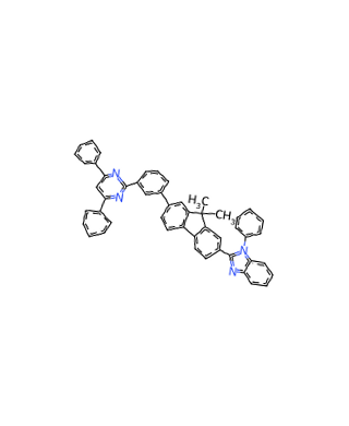 CC1(C)c2cc(-c3cccc(-c4nc(-c5ccccc5)cc(-c5ccccc5)n4)c3)ccc2-c2ccc(-c3nc4ccccc4n3-c3ccccc3)cc21